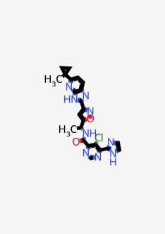 CC(NC(=O)c1ncnc(-c2ncc[nH]2)c1Cl)c1cc(-c2nc3ccc(C4(C)CC4)nc3[nH]2)no1